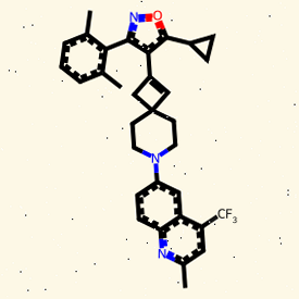 Cc1cc(C(F)(F)F)c2cc(N3CCC4(C=C(c5c(-c6c(C)cccc6C)noc5C5CC5)C4)CC3)ccc2n1